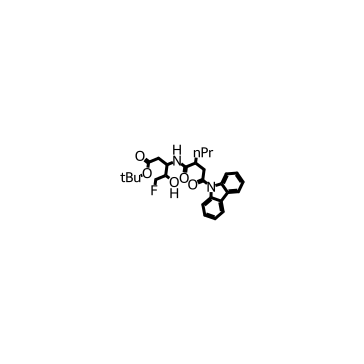 CCCC(CC(=O)n1c2ccccc2c2ccccc21)C(=O)NC(CC(=O)OC(C)(C)C)C(O)CF